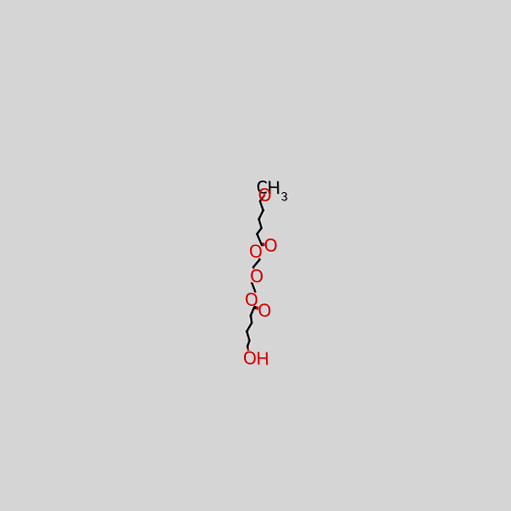 COCCCCCC(=O)OCCOCCOC(=O)CCCCCO